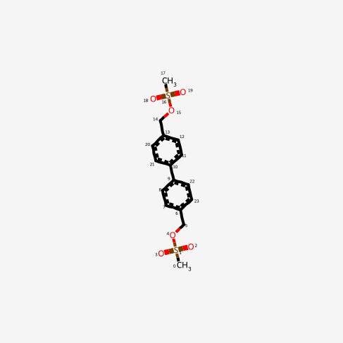 CS(=O)(=O)OCc1ccc(-c2ccc(COS(C)(=O)=O)cc2)cc1